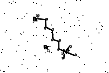 C[N+](C)(C)CCCCCCBr.[Br-]